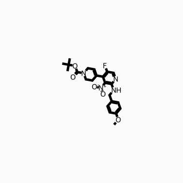 COc1ccc(CNc2ncc(F)c(C3=CCN(C(=O)OC(C)(C)C)CC3)c2[N+](=O)[O-])cc1